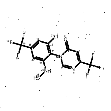 O=c1cc(C(F)(F)F)ncn1-c1c(Cl)cc(C(F)(F)F)cc1NS